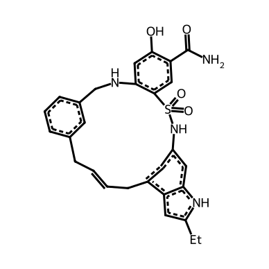 CCc1cc2c3cc(cc2[nH]1)NS(=O)(=O)c1cc(C(N)=O)c(O)cc1NCc1cccc(c1)C/C=C/C3